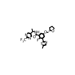 Cc1cnc(-c2cc(OC[C@@H]3CCCO3)cc(C(=O)NC(C)c3cnc(C(F)(F)F)nc3)c2F)s1